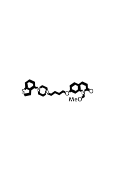 COCn1c(=O)ccc2ccc(OCCCCN3CCN(c4cccc5sccc45)CC3)cc21